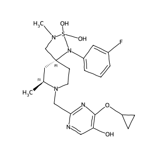 C[C@H]1C[C@]2(CCN1Cc1ncc(O)c(OC3CC3)n1)CN(C)S(O)(O)N2c1cccc(F)c1